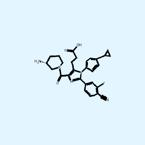 N#Cc1ccc(-c2nc(C(=O)N3CCC[C@@H](N)C3)c(CCC(=O)O)n2-c2ccc(C3CC3)cc2)cc1F